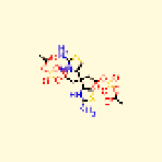 CC(=O)OS(=O)(=O)OC(=O)CC(CC(=O)OS(=O)(=O)OC(C)=O)(C1=CSC(N)N1)C1=CSC(N)N1